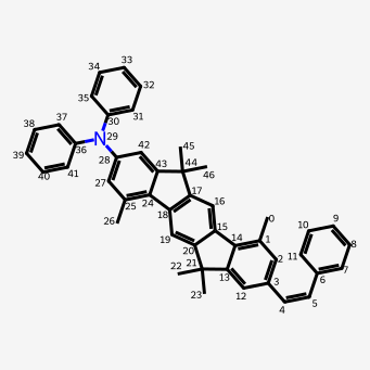 Cc1cc(/C=C\c2ccccc2)cc2c1-c1cc3c(cc1C2(C)C)-c1c(C)cc(N(c2ccccc2)c2ccccc2)cc1C3(C)C